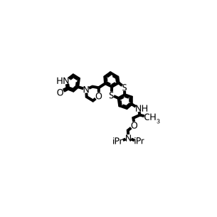 CC(COCN(C(C)C)C(C)C)Nc1ccc2c(c1)Sc1cccc(C3CN(c4cc[nH]c(=O)c4)CCO3)c1S2